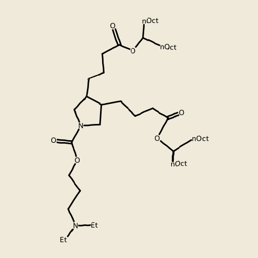 CCCCCCCCC(CCCCCCCC)OC(=O)CCCC1CN(C(=O)OCCCN(CC)CC)CC1CCCC(=O)OC(CCCCCCCC)CCCCCCCC